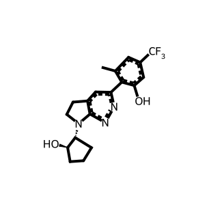 Cc1cc(C(F)(F)F)cc(O)c1-c1cc2c(nn1)N([C@@H]1CCC[C@H]1O)CC2